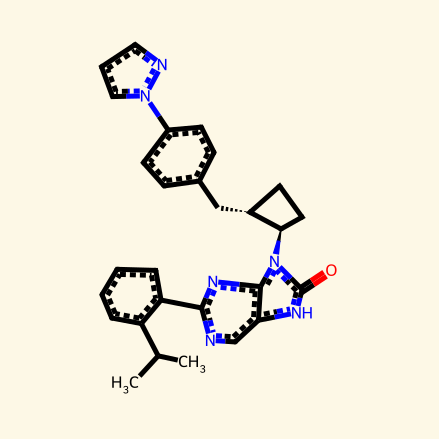 CC(C)c1ccccc1-c1ncc2[nH]c(=O)n([C@@H]3CC[C@H]3Cc3ccc(-n4cccn4)cc3)c2n1